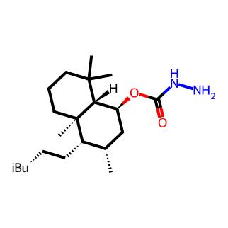 CC[C@@H](C)CC[C@H]1[C@@H](C)C[C@H](OC(=O)NN)[C@H]2C(C)(C)CCC[C@]12C